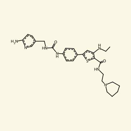 CCNc1cc(-c2ccc(NC(=O)NCc3ccc(N)nc3)cc2)sc1C(=O)NCCN1CCCCC1